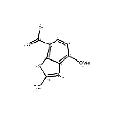 CCC(=O)c1ccc(OC)c2nc(C(F)(F)F)sc12